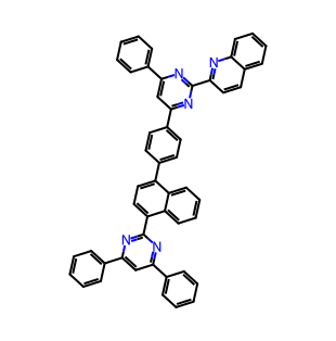 c1ccc(-c2cc(-c3ccc(-c4ccc(-c5nc(-c6ccccc6)cc(-c6ccccc6)n5)c5ccccc45)cc3)nc(-c3ccc4ccccc4n3)n2)cc1